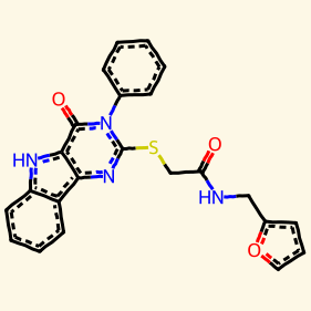 O=C(CSc1nc2c([nH]c3ccccc32)c(=O)n1-c1ccccc1)NCc1ccco1